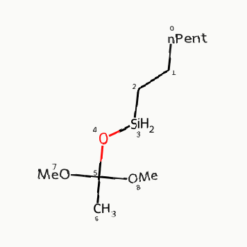 CCCCCCC[SiH2]OC(C)(OC)OC